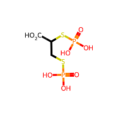 O=C(O)C(CSP(=O)(O)O)SP(=O)(O)O